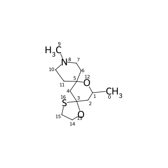 CC1CC2(CC3(CCN(C)CC3)O1)OCCS2